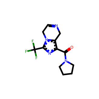 O=C(c1nc(C(F)(F)F)n2c1CN=CC2)N1CCCC1